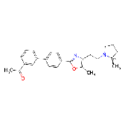 CC(=O)c1cccc(-c2ccc(-c3nc(CCN4CCC[C@H]4C)c(C)o3)cc2)c1